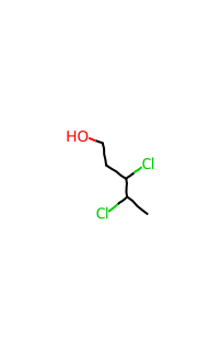 CC(Cl)C(Cl)CCO